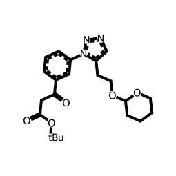 CC(C)(C)OC(=O)CC(=O)c1cccc(-n2nncc2CCOC2CCCCO2)c1